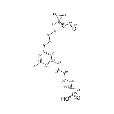 Cc1cc(CCCCCC2(OC=O)CC2)cc(CCCCCC(C)(C)C(=O)O)c1